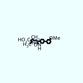 COc1cccc(-c2ccc3c(c2)NC(=O)/C3=C\c2[nH]c(C)c(C(=O)O)c2C)c1